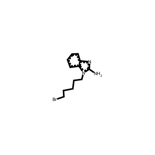 Nc1nc2ccccc2n1CCCCCBr